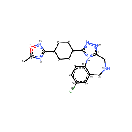 Cc1nc(C2CCC(c3nnc4n3-c3ccc(Cl)cc3CNC4)CC2)no1